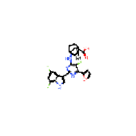 O=C(O)[C@H]1C2CCC(CC2)[C@@H]1Nc1nc(-c2c[nH]c3c(F)cc(F)cc23)nc(-c2ccco2)c1F